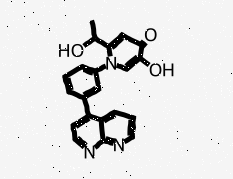 CC(O)c1cc(=O)c(O)cn1-c1cccc(-c2ccnc3ncccc23)c1